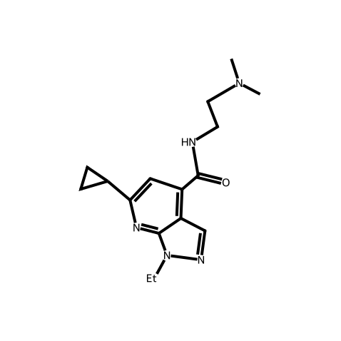 CCn1ncc2c(C(=O)NCCN(C)C)cc(C3CC3)nc21